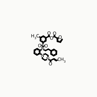 C/C=C/C(=O)N1CCN(c2ccccc2N(CCc2ccccc2)S(=O)(=O)c2cc(C)cc(C(=O)OC(=O)c3ccco3)c2)CC1